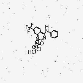 Cl.FC(F)(F)c1ccc2c(Nc3ccccc3)ncnc2c1.O=S(=O)(Cl)Cl